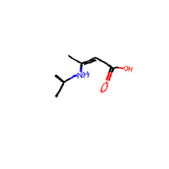 C/C(=C/C(=O)O)NC(C)C